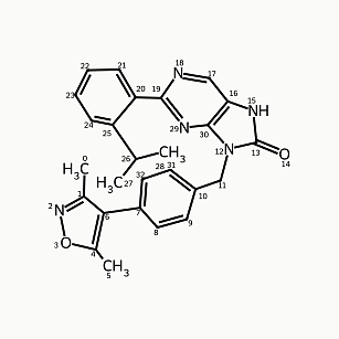 Cc1noc(C)c1-c1ccc(Cn2c(=O)[nH]c3cnc(-c4ccccc4C(C)C)nc32)cc1